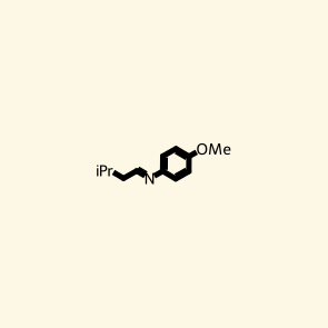 COc1ccc(N=CCC(C)C)cc1